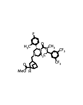 COC(=O)[C@@H]1CC(CN2CCN(C(=O)N(C)[C@H](C)c3cc(C(F)(F)F)cc(C(F)(F)F)c3)[C@@H](c3ccc(F)cc3C)C2)C2CC1C2